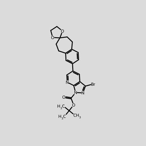 CC(C)(C)OC(=O)n1nc(Br)c2cc(-c3ccc4c(c3)CCC3(CC4)OCCO3)cnc21